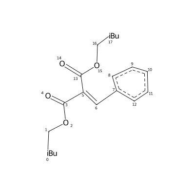 CCC(C)COC(=O)C(=Cc1ccccc1)C(=O)OCC(C)CC